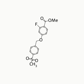 COC(=O)c1ccc(OCc2ccc(S(C)(=O)=O)cc2)cc1F